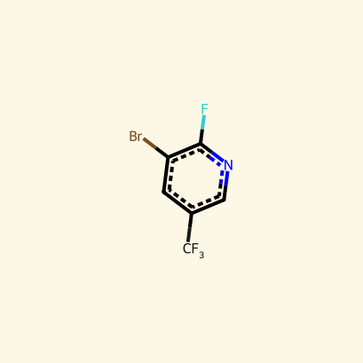 Fc1ncc(C(F)(F)F)cc1Br